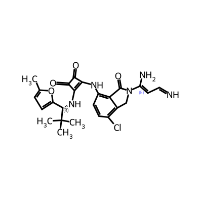 Cc1ccc([C@H](Nc2c(Nc3ccc(Cl)c4c3C(=O)N(/C(N)=C/C=N)C4)c(=O)c2=O)C(C)(C)C)o1